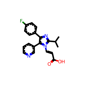 CC(C)c1nc(-c2ccc(F)cc2)c(-c2cccnc2)n1C=CC(=O)O